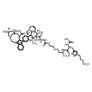 CCCC(=O)N[C@@H](Cc1cn(CCOS(=O)(=O)O)nn1)C(=O)N[C@H](CSSCCOC(=O)NNC(=O)[C@@]1(O)[C@H](O)[C@]2(CC)C=CCN3CC[C@@]4(c5cc([C@@]6(C(=O)OC)C[C@@H]7CN(CCc8c6[nH]c6ccccc86)C[C@](O)(CC)C7)c(OC)cc5N(C)[C@@H]14)[C@@H]32)C(=O)O